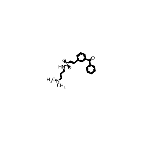 CN(C)CCCNS(=O)(=O)C=Cc1cccc(C(=O)c2ccccc2)c1